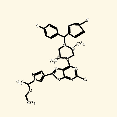 CCOC(C)n1cc(-c2nc3c(N4C[C@@H](C)N(C(c5ccc(F)cc5)c5ccc(F)cc5)C[C@@H]4C)nc(Cl)nc3s2)cn1